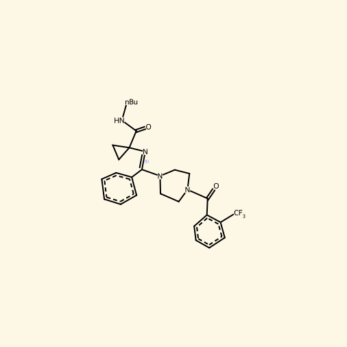 CCCCNC(=O)C1(/N=C(\c2ccccc2)N2CCN(C(=O)c3ccccc3C(F)(F)F)CC2)CC1